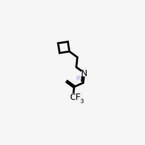 C=C(/C=N\CCC1CCC1)C(F)(F)F